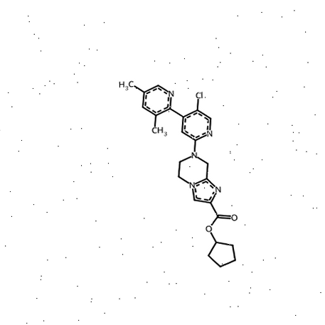 Cc1cnc(-c2cc(N3CCn4cc(C(=O)OC5CCCC5)nc4C3)ncc2Cl)c(C)c1